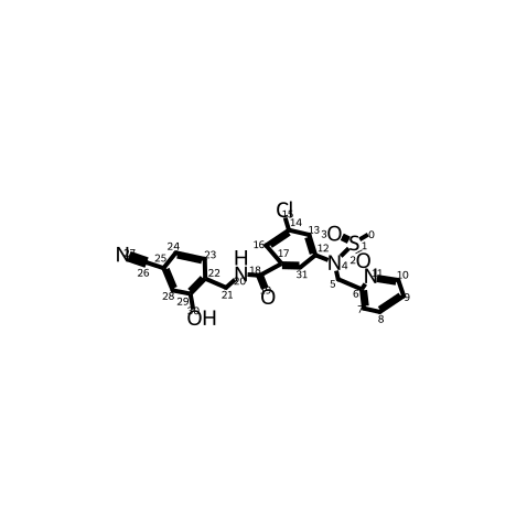 CS(=O)(=O)N(Cc1ccccn1)c1cc(Cl)cc(C(=O)NCc2ccc(C#N)cc2O)c1